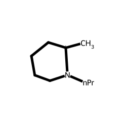 CCCN1CCCC[C]1C